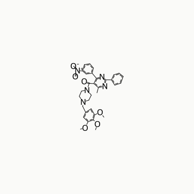 COc1cc(CN2CCN(C(=O)c3c(C)nc(-c4ccccc4)nc3-c3cccc([N+](=O)[O-])c3)CC2)cc(OC)c1OC